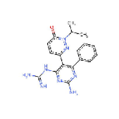 CC(C)n1nc(-c2c(NC(=N)N)nc(N)nc2-c2ccccc2)ccc1=O